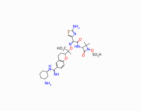 CC(ON=C(C(=O)NC1C(=O)N(OS(=O)(=O)O)C1(C)C)c1csc(N)n1)(C(=O)O)C1CCc2cc(C(=N)N[C@@H]3CCC[C@@H](N)C3)ccc2O1